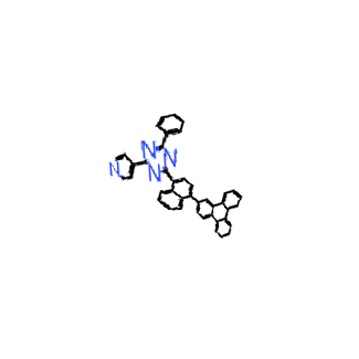 c1ccc(-c2nc(-c3ccncc3)nc(-c3ccc(-c4ccc5c6ccccc6c6ccccc6c5c4)c4ccccc34)n2)cc1